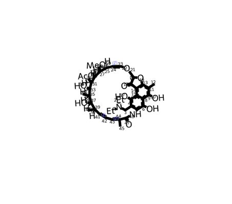 CCN(CC)Cc1c2c(O)c3c(O)c(C)c4c(c3c1O)C(=O)[C@@](C)(O/C=C\[C@H](OC)[C@@H](C)[C@@H](OC(C)=O)[C@H](C)[C@H](O)[C@H](C)[C@@H](O)[C@@H](C)/C=C\C=C(\C)C(=O)N2)O4